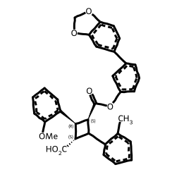 COc1ccccc1[C@@H]1[C@@H](C(=O)O)C(c2ccccc2C)[C@@H]1C(=O)Oc1cccc(-c2ccc3c(c2)OCO3)c1